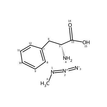 CN=[N+]=[N-].N[C@H](Cc1ccccc1)C(=O)O